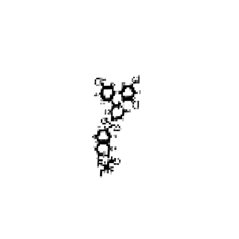 O=C(N1CCc2ccc(S(=O)(=O)N3CCN(c4ccc(Cl)cc4Cl)C(c4ccc(Cl)cc4)C3)cc2C1)C(F)(F)F